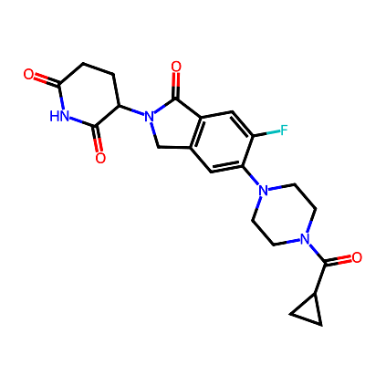 O=C1CCC(N2Cc3cc(N4CCN(C(=O)C5CC5)CC4)c(F)cc3C2=O)C(=O)N1